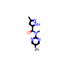 Cc1cc(C(=O)N(C)c2ncc(C(C)C)cn2)[nH]n1